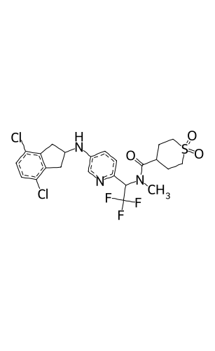 CN(C(=O)C1CCS(=O)(=O)CC1)C(c1ccc(NC2Cc3c(Cl)ccc(Cl)c3C2)cn1)C(F)(F)F